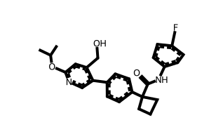 CC(C)Oc1cc(CO)c(-c2ccc(C3(C(=O)Nc4ccc(F)cc4)CCC3)cc2)cn1